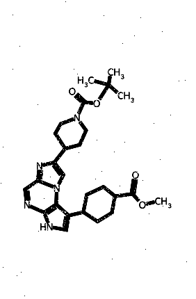 COC(=O)C1CCC(c2c[nH]c3ncc4nc(C5CCN(C(=O)OC(C)(C)C)CC5)cn4c23)CC1